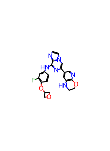 Fc1cc(Nc2nc(-c3cnc4c(c3)NCCO4)cn3ccnc23)ccc1OC1COC1